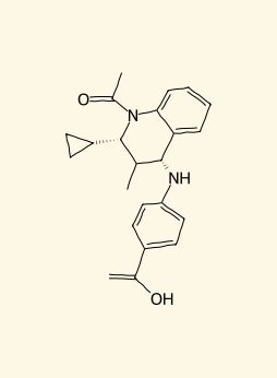 C=C(O)c1ccc(N[C@H]2c3ccccc3N(C(C)=O)[C@@H](C3CC3)C2C)cc1